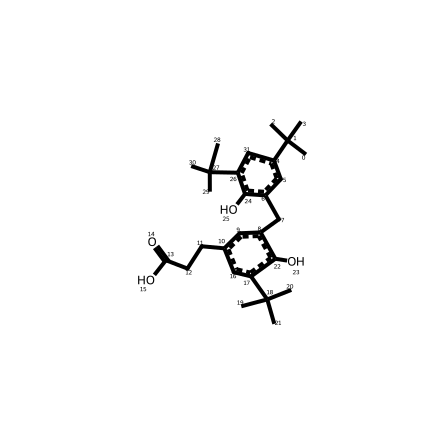 CC(C)(C)c1cc(Cc2cc(CCC(=O)O)cc(C(C)(C)C)c2O)c(O)c(C(C)(C)C)c1